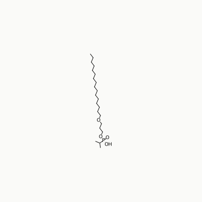 CCCCCCCCCCCCCCCCOCCCOP(=O)(O)C(C)C